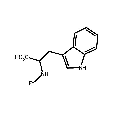 CCNC(Cc1c[nH]c2ccccc12)C(=O)O